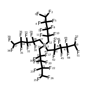 FC(F)C(F)(F)C(F)(F)C(F)(F)C[B-](CC(F)(F)C(F)(F)C(F)(F)C(F)F)(CC(F)(F)C(F)(F)C(F)(F)C(F)F)CC(F)(F)C(F)(F)C(F)(F)C(F)F